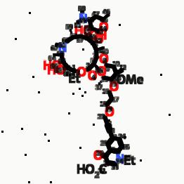 CC[C@H]1OC(=O)[C@H](C)[C@@H](O[C@H]2C[C@@](C)(OC)[C@@H](OCCCOCC#Cc3ccc4c(c3)c(=O)c(C(=O)O)cn4CC)[C@H](C)O2)[C@H](C)[C@@H](O[C@@H]2O[C@H](C)C[C@H](N(C)C)[C@H]2O)[C@](C)(O)C[C@@H](C)CN(C)[C@H](C)[C@@H](O)[C@]1(C)O